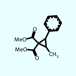 COC(=O)C1(C(=O)OC)C(C)C1c1ccccc1